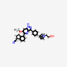 COc1cc2[nH]nc(-c3ccc([C@@]45CN(CCO)C6C4[C@H]65)cc3)c2nc1-c1cccc2c1CCC2C#N